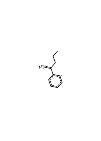 CCCC(=N)c1[c]cccc1